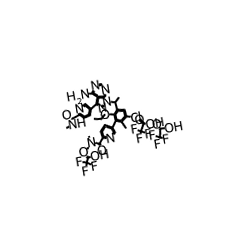 CCOc1c(C(C)n2nc(-c3ccc(C(=O)NC)nc3)c3c(N)ncnc32)cc(Cl)c(C)c1-c1ccc(C(=O)N(C)C)nc1.O=C(O)C(F)(F)F.O=C(O)C(F)(F)F.O=C(O)C(F)(F)F